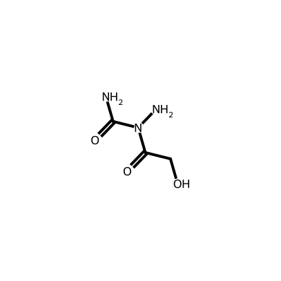 NC(=O)N(N)C(=O)CO